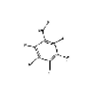 FBc1c(F)c(F)c(F)c(F)c1F